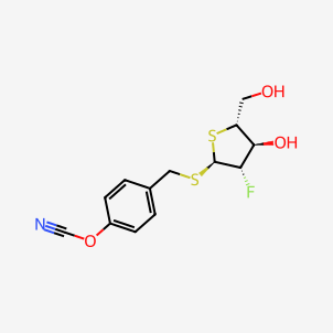 N#COc1ccc(CS[C@H]2S[C@H](CO)[C@@H](O)[C@@H]2F)cc1